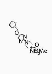 COC(=O)C1(N)CCN(c2ncc(OCc3ccccc3)cn2)CC1